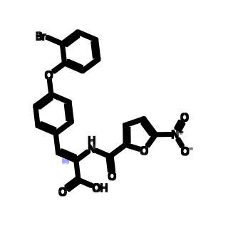 O=C(O)/C(=C/c1ccc(Oc2ccccc2Br)cc1)NC(=O)c1ccc([N+](=O)[O-])o1